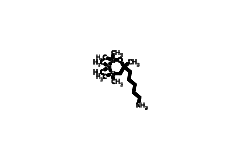 CC1(CCCCCN)C[Si](C)(C)[Si](C)(C)[Si](C)(C)O1